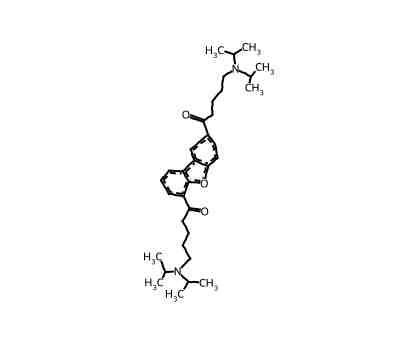 CC(C)N(CCCCC(=O)c1ccc2oc3c(C(=O)CCCCN(C(C)C)C(C)C)cccc3c2c1)C(C)C